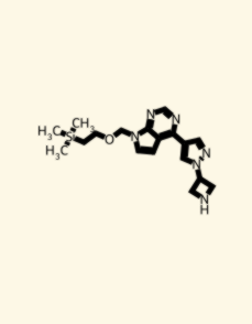 C[Si](C)(C)CCOCn1ccc2c(-c3cnn([C]4CNC4)c3)ncnc21